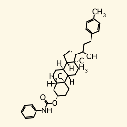 Cc1ccc(CC[C@@H](O)[C@H]2CC[C@H]3[C@@H]4CC[C@H]5C[C@@H](OC(=O)Nc6ccccc6)CC[C@]5(C)[C@H]4CC[C@]23C)cc1